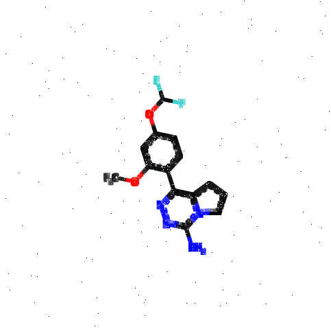 Nc1nnc(-c2ccc(OC(F)F)cc2OC(F)(F)F)c2cccn12